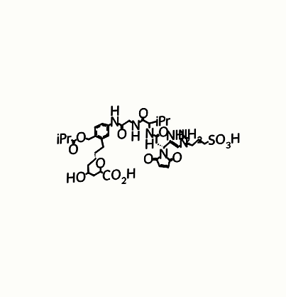 CC(C)C(=O)OCc1ccc(NC(=O)CNC(=O)C(NC(=O)C[C@H](/C(N)=C/N(N)CCCS(=O)(=O)O)N2C(=O)C=CC2=O)C(C)C)cc1CC[C@H]1CC(O)CC(C(=O)O)O1